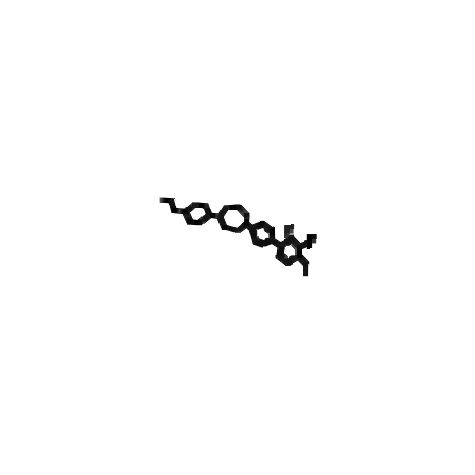 CCCC1CCC(C2CCCC(c3ccc(-c4ccc(CC)c(F)c4F)cc3)CC2)CC1